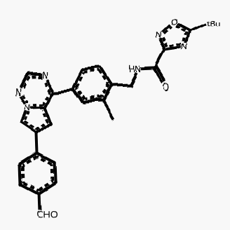 Cc1cc(-c2ncnn3cc(-c4ccc(C=O)cc4)cc23)ccc1CNC(=O)c1noc(C(C)(C)C)n1